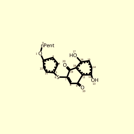 CCCCCOc1ccc(SC2=CC(=O)c3c(O)ccc(O)c3C2=O)cc1